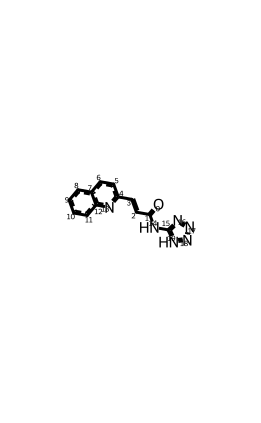 O=C(C=Cc1ccc2ccccc2n1)Nc1nnn[nH]1